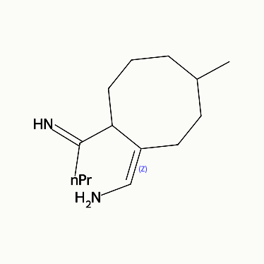 CCCC(=N)C1CCCC(C)CC/C1=C/N